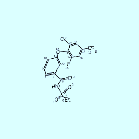 CCS(=O)(=O)NC(=O)c1cccc(Oc2c(F)cc(C(F)(F)F)cc2Cl)c1